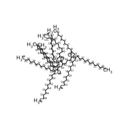 CCCCCCCCCCCC[N+](CCCCCCCCCCCC)(CCCCCCCCCCCC)C(=O)CCCC(CCC(=O)[N+](CCCCCCCCCCCC)(CCCCCCCCCCCC)CCCCCCCCCCCC)C(=O)[N+](CCCCCCCCCCCC)(CCCCCCCCCCCC)CCCCCCCCCCCC